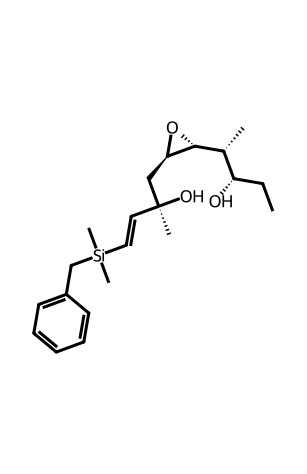 CC[C@H](O)[C@@H](C)[C@H]1O[C@@H]1C[C@@](C)(O)/C=C/[Si](C)(C)Cc1ccccc1